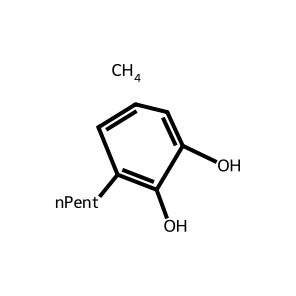 C.CCCCCc1cccc(O)c1O